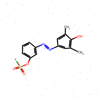 Cc1cc(/N=N/c2cccc(OS(=O)(=O)F)c2)cc(C)c1O